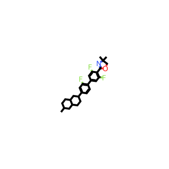 CC1CCC2CC(c3ccc(-c4cc(F)c(C5=NC(C)(C)CO5)c(F)c4)c(F)c3)CCC2C1